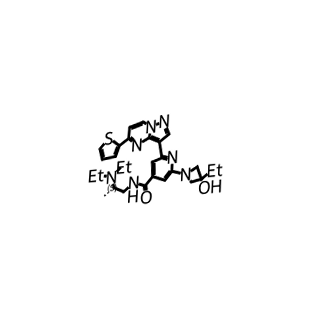 CCN(CC)[C@@H](C)CNC(=O)c1cc(-c2cnn3ccc(-c4cccs4)nc23)nc(N2CC(O)(CC)C2)c1